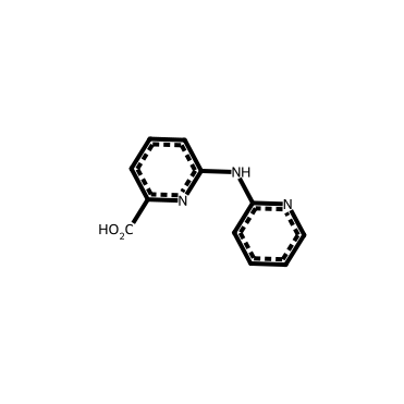 O=C(O)c1cccc(Nc2ccccn2)n1